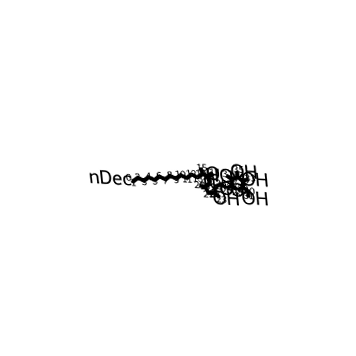 CCCCCCCCCCCCCCCCCCCCCCCC(C)C(=O)N1C(C)CC(O)C1COC1OC(CO)C(O)C(O)C1O